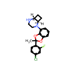 CC1(c2ccc(Cl)cc2F)Oc2cccc(N3CCN[C@@H]4CC[C@H]43)c2O1